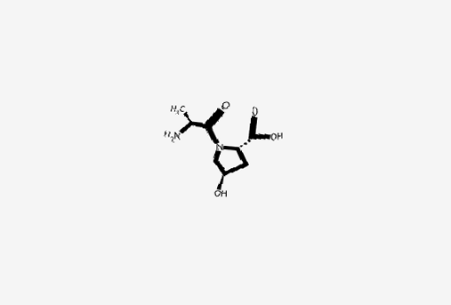 C[C@H](N)C(=O)N1C[C@H](O)C[C@H]1C(=O)O